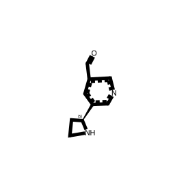 O=Cc1cncc([C@@H]2CCN2)c1